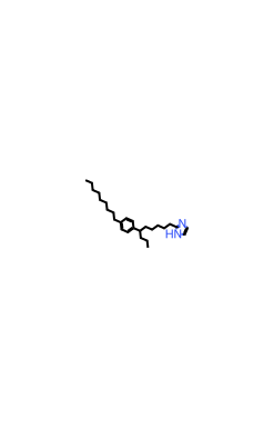 CCCCCCCCCc1ccc(C(CCC)CCCCCc2ncc[nH]2)cc1